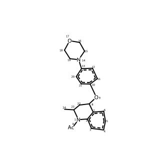 CC(=O)N1c2ccccc2C(Oc2ccc(N3CCOCC3)cc2)CC1C